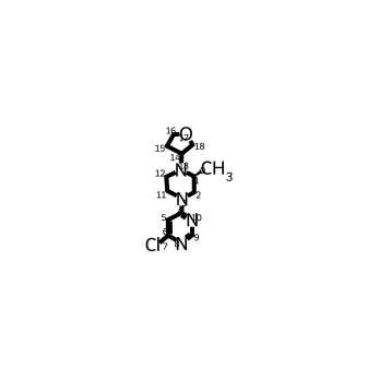 C[C@H]1CN(c2cc(Cl)ncn2)CCN1C1CCOC1